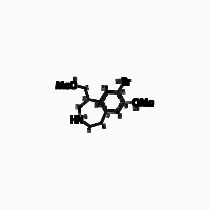 COCC1CNCCc2cc(OC)c(Br)cc21